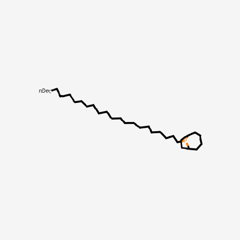 CCCCCCCCCCCCCCCCCCCCCCCCCCCCCCP1C2CCCCC1CC2